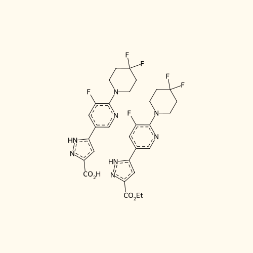 CCOC(=O)c1cc(-c2cnc(N3CCC(F)(F)CC3)c(F)c2)[nH]n1.O=C(O)c1cc(-c2cnc(N3CCC(F)(F)CC3)c(F)c2)[nH]n1